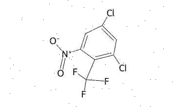 O=[N+]([O-])c1cc(Cl)cc(Cl)c1C(F)(F)F